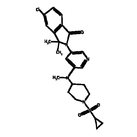 CN(c1cncc(N2C(=O)c3ccc(Cl)cc3C2(C)C)c1)C1CCN(S(=O)(=O)C2CC2)CC1